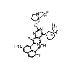 C#Cc1c(F)ccc2cc(O)cc(-c3ncc4c(N5CCC[C@](C)(F)C5)nc(OC[C@@]56CCCN5C[C@H](F)C6)nc4c3F)c12